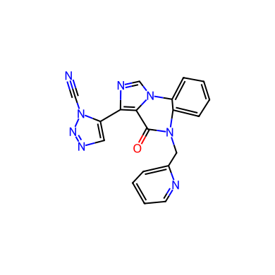 N#Cn1nncc1-c1ncn2c1c(=O)n(Cc1ccccn1)c1ccccc12